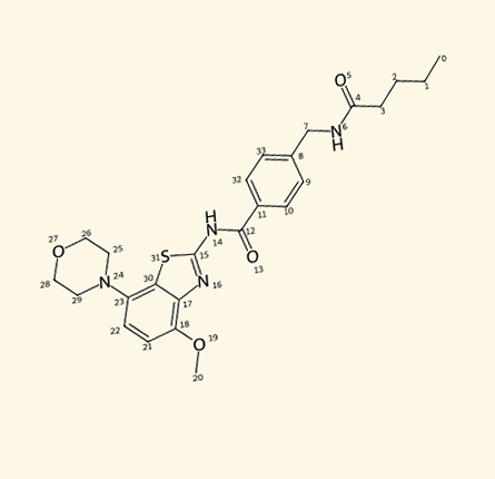 CCCCC(=O)NCc1ccc(C(=O)Nc2nc3c(OC)ccc(N4CCOCC4)c3s2)cc1